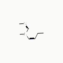 CC/C=C\N(C)/C=N\C